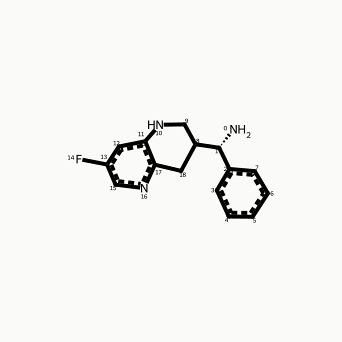 N[C@H](c1ccccc1)C1CNc2cc(F)cnc2C1